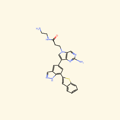 NCCNC(=O)CCn1cc(-c2cc(-c3cc4ccccc4s3)c3[nH]ncc3c2)c2nc(N)ncc21